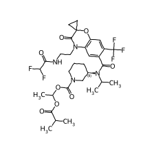 CC(OC(=O)C(C)C)OC(=O)N1CCC[C@@H](N(C(=O)c2cc3c(cc2C(F)(F)F)OC2(CC2)C(=O)N3CCNC(=O)C(F)F)C(C)C)C1